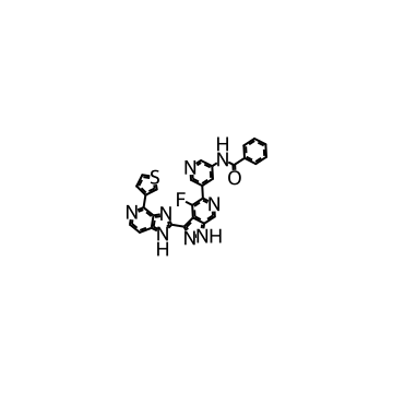 O=C(Nc1cncc(-c2ncc3[nH]nc(-c4nc5c(-c6ccsc6)nccc5[nH]4)c3c2F)c1)c1ccccc1